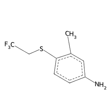 Cc1cc(N)ccc1SCC(F)(F)F